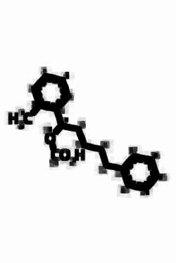 Cc1ccccc1C(CCCCc1ccccc1)OC(=O)O